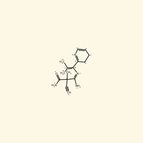 C#CC(C)(C(N)=O)/C(N)=N\C(C1=NC=CCC1)=C(C)C